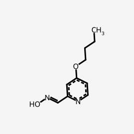 CCCCOc1ccnc(C=NO)c1